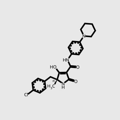 C[C@]1(Cc2ccc(Cl)cc2)NC(=O)C(C(=O)Nc2ccc(N3CCCCC3)cc2)=C1O